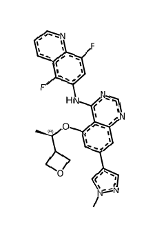 C[C@@H](Oc1cc(-c2cnn(C)c2)cc2ncnc(Nc3cc(F)c4ncccc4c3F)c12)C1COC1